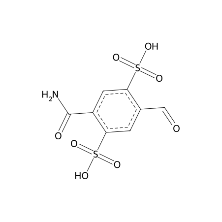 NC(=O)c1cc(S(=O)(=O)O)c(C=O)cc1S(=O)(=O)O